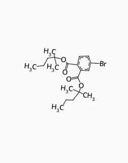 CCCC(C)(C)OC(=O)c1ccc(Br)cc1C(=O)OC(C)(C)CCC